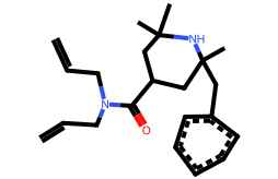 C=CCN(CC=C)C(=O)C1CC(C)(C)NC(C)(Cc2ccccc2)C1